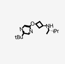 CC(C)[C@H](C)N[C@H]1C[C@H](Oc2cnc(C(C)(C)C)cn2)C1